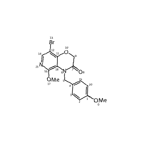 COc1ccc(CN2C(=O)COc3c(Br)cnc(OC)c32)cc1